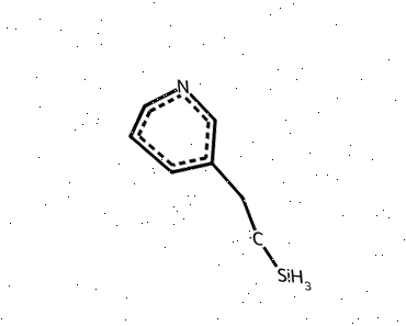 [SiH3][CH]Cc1cccnc1